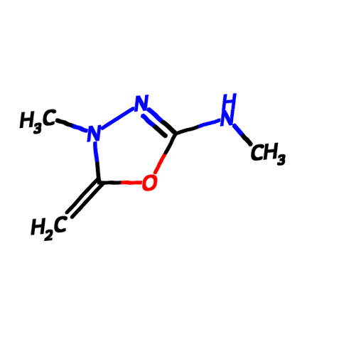 C=C1OC(NC)=NN1C